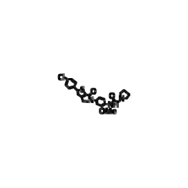 COc1cc(-n2ccc3cc(-c4ccc(Cl)cc4)sc3c2=O)ccc1NC(=O)CN1CCCC1